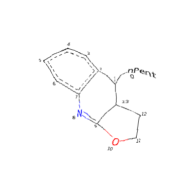 CCCCCC1c2ccccc2N=C2OCCC21